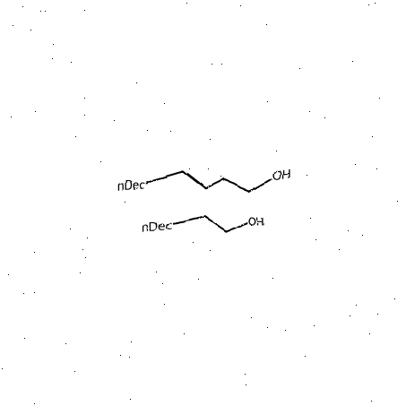 CCCCCCCCCCCCCCO.CCCCCCCCCCCCO